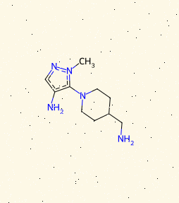 Cn1ncc(N)c1N1CCC(CN)CC1